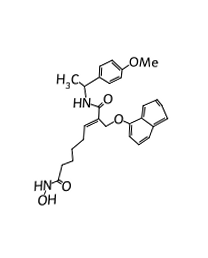 COc1ccc(C(C)NC(=O)/C(=C/CCCCC(=O)NO)COc2cccc3ccccc23)cc1